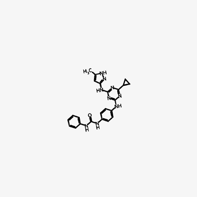 Cc1cc(Nc2nc(Nc3ccc(NC(=O)Nc4ccccc4)cc3)nc(C3CC3)n2)n[nH]1